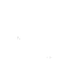 Cc1c2ccccc2cc2ncccc12